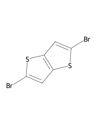 Brc1cc2sc(Br)cc2s1